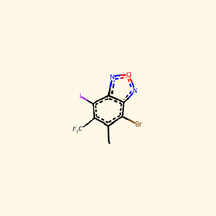 Cc1c(C(F)(F)F)c(I)c2nonc2c1Br